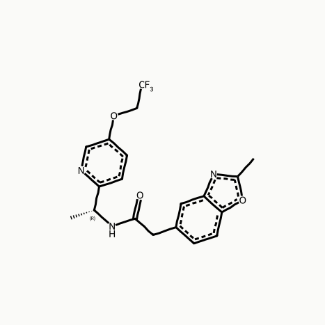 Cc1nc2cc(CC(=O)N[C@H](C)c3ccc(OCC(F)(F)F)cn3)ccc2o1